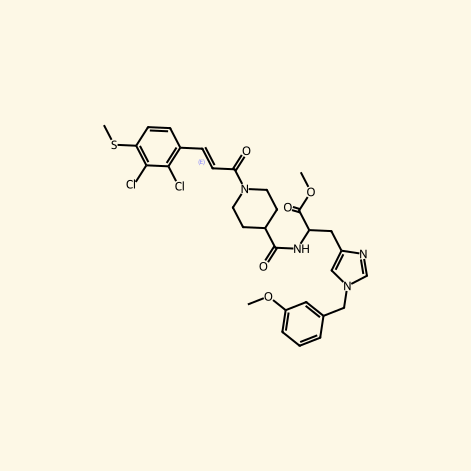 COC(=O)C(Cc1cn(Cc2cccc(OC)c2)cn1)NC(=O)C1CCN(C(=O)/C=C/c2ccc(SC)c(Cl)c2Cl)CC1